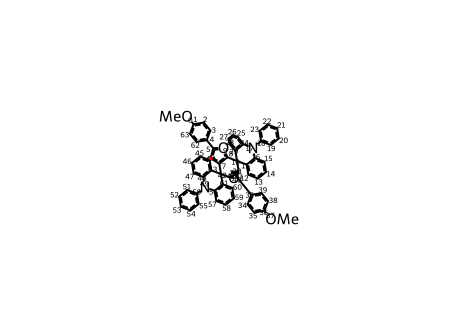 COc1ccc(-c2cc3c(o2)C2(c4ccccc4N(c4ccccc4)c4ccccc42)c2cc(-c4ccc(OC)cc4)oc2C32c3ccccc3N(c3ccccc3)c3ccccc32)cc1